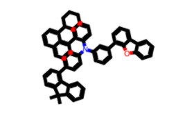 CC1(C)c2ccccc2-c2c(-c3ccc(N(c4cccc(-c5cccc6c5oc5ccccc56)c4)c4ccccc4-c4cccc5cccc(C6CCCCC6)c45)cc3)cccc21